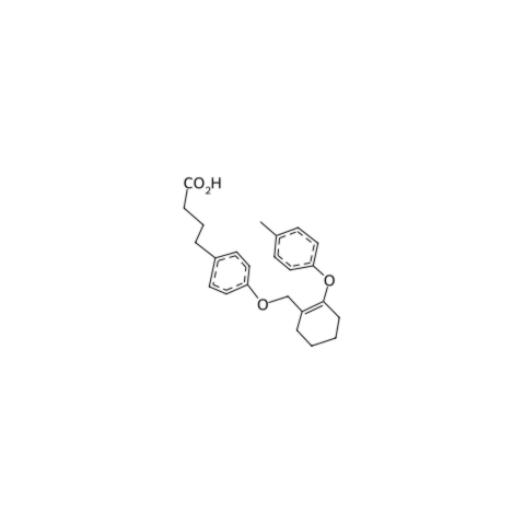 Cc1ccc(OC2=C(COc3ccc(CCCC(=O)O)cc3)CCCC2)cc1